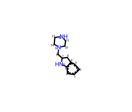 c1ccc2c(c1)CC(CN1CCNCC1)N2